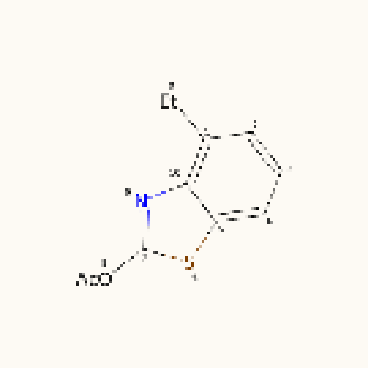 CCc1cccc2sc(OC(C)=O)nc12